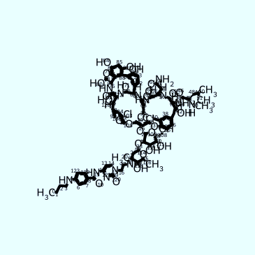 CCCCNc1ccc(C(=O)Nc2ccn(CCN[C@@]3(C)C[C@H](O[C@H]4C(Oc5c6cc7cc5Oc5ccc(cc5Cl)[C@@H](O)[C@@H](NC(=O)[C@@H](CC(C)C)NC)C(=O)N[C@@H](CC(N)=O)C(=O)NC7C(=O)NC5C(=O)N[C@H](C(=O)N[C@@H](C(=O)O)c7cc(O)cc(O)c7-c7cc5ccc7O)[C@H](O)c5ccc(c(Cl)c5)O6)O[C@H](CO)[C@@H](O)[C@@H]4O)O[C@@H](C)[C@H]3O)c(=O)n2)cc1